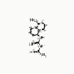 N=C(N)NC(=N)Nc1cccc2c(O)cccc12